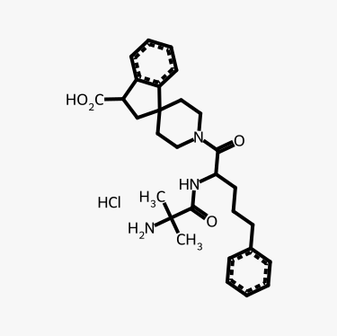 CC(C)(N)C(=O)NC(CCCc1ccccc1)C(=O)N1CCC2(CC1)CC(C(=O)O)c1ccccc12.Cl